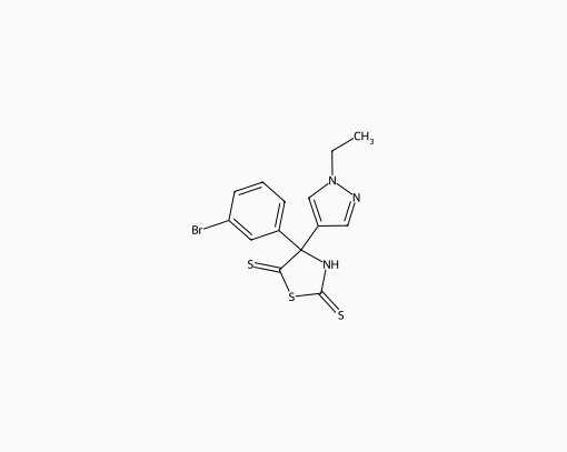 CCn1cc(C2(c3cccc(Br)c3)NC(=S)SC2=S)cn1